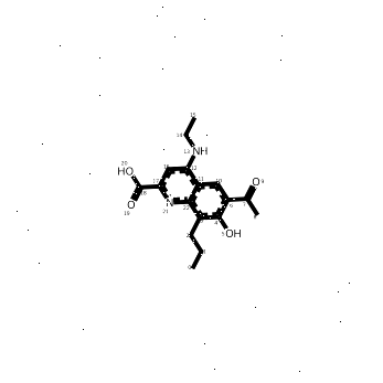 CCCc1c(O)c(C(C)=O)cc2c(NCC)cc(C(=O)O)nc12